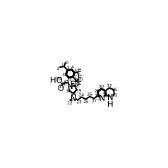 CC(C)c1cc(F)c(C(F)(F)F)c([C@@H](C(=O)O)N2CC[C@@H](N(C)CCCCCc3ccc4c(n3)NCCC4)C2)c1